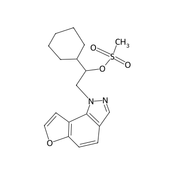 CS(=O)(=O)OC(Cn1ncc2ccc3occc3c21)C1CCCCC1